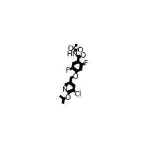 CC(C)Oc1ncc(COc2cc(F)c(C(=O)NS(C)(=O)=O)cc2F)cc1Cl